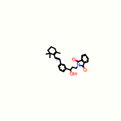 CC1=C(/C=C/c2cccc(C(O)CCN3C(=O)c4ccccc4C3=O)c2)C(C)(C)CCC1